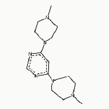 CN1CCN(c2cc(N3CCN(C)CC3)ncn2)CC1